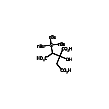 CCCC[Si](CCCC)(CCCC)C(C(=O)O)C(O)(CC(=O)O)C(=O)O